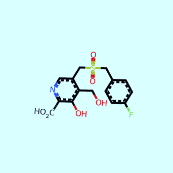 O=C(O)c1ncc(CS(=O)(=O)Cc2ccc(F)cc2)c(CO)c1O